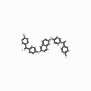 O=C(c1ccc(Cl)cc1)c1ccc(Oc2ccc3cc(Oc4ccc(C(=O)c5ccc(Cl)cc5)cc4)ccc3c2)cc1